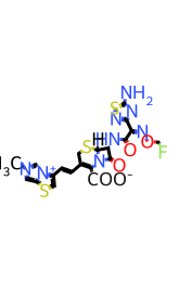 Cn1cc2scc(/C=C/C3=C(C(=O)[O-])N4C(=O)[C@@H](NC(=O)/C(=N\OCF)c5nsc(N)n5)[C@H]4SC3)[n+]2c1